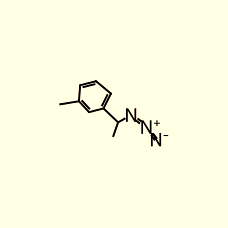 Cc1cccc(C(C)N=[N+]=[N-])c1